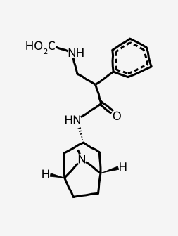 CN1[C@@H]2CC[C@H]1C[C@@H](NC(=O)C(CNC(=O)O)c1ccccc1)C2